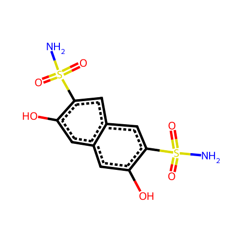 NS(=O)(=O)c1cc2cc(S(N)(=O)=O)c(O)cc2cc1O